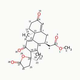 COC(=O)C[C@@H]1CC2=CC(=O)CC[C@]2(C)C2=CC(=O)[C@@]3(C)C(CC[C@@]34CCC(=O)O4)C21